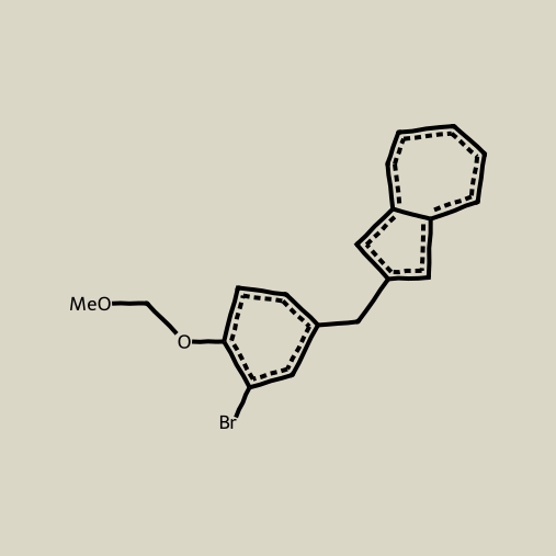 COCOc1ccc(Cc2cc3cccccc-3c2)cc1Br